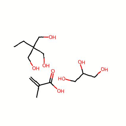 C=C(C)C(=O)O.CCC(CO)(CO)CO.OCC(O)CO